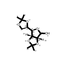 CC1(C)OC[C@H]([C@H]2OC(O)[C@@H]3OC(C)(C)O[C@H]23)O1